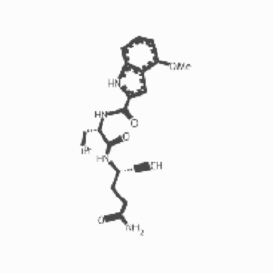 C#C[C@H](CCC(N)=O)NC(=O)[C@H](CC(C)C)NC(=O)c1cc2c(OC)cccc2[nH]1